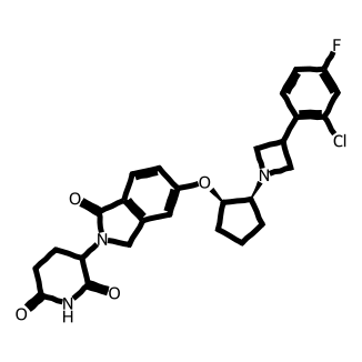 O=C1CCC(N2Cc3cc(O[C@@H]4CCC[C@@H]4N4CC(c5ccc(F)cc5Cl)C4)ccc3C2=O)C(=O)N1